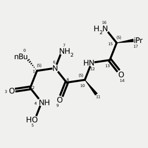 CCCC[C@@H](C(=O)NO)N(N)C(=O)[C@H](C)NC(=O)[C@@H](N)C(C)C